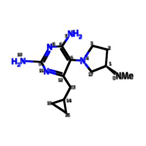 CN[C@@H]1CCN(c2c(N)nc(N)nc2CC2CC2)C1